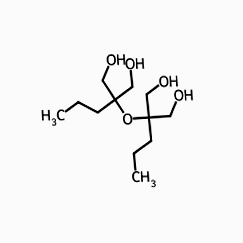 CCCC(CO)(CO)OC(CO)(CO)CCC